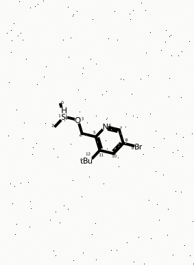 C[SiH](C)OCc1ncc(Br)cc1C(C)(C)C